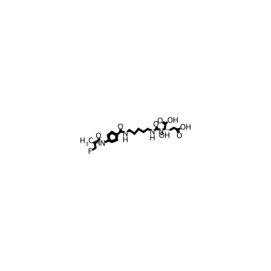 CC(CF)C(=O)Nc1ccc(C(=O)NCCCCCNC(=O)N(O)[C@@H](CCC(=O)O)C(=O)O)cc1